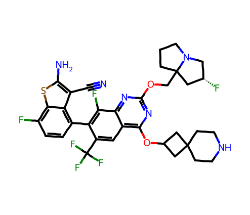 N#Cc1c(N)sc2c(F)ccc(-c3c(C(F)(F)F)cc4c(OC5CC6(CCNCC6)C5)nc(OCC56CCCN5C[C@H](F)C6)nc4c3F)c12